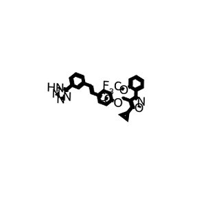 FC(F)(F)Oc1ccccc1-c1noc(C2CC2)c1COC12CCC(C=Cc3cccc(-c4nnn[nH]4)c3)(CC1)CC2